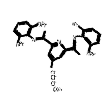 CCCc1cccc(CCC)c1N=C(C)c1cc(C)cc(C(C)=Nc2c(CCC)cccc2CCC)n1.[Cl-].[Cl-].[Cl-].[Co+3]